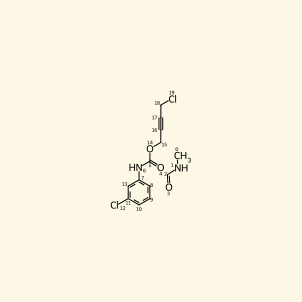 CNC=O.O=C(Nc1cccc(Cl)c1)OCC#CCCl